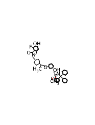 COC(=O)[C@H](COc1cccc(OCC(C)C2CCC(CN3Cc4ccc(O)c(F)c4C3=O)CC2)c1)NC(c1ccccc1)(c1ccccc1)c1ccccc1